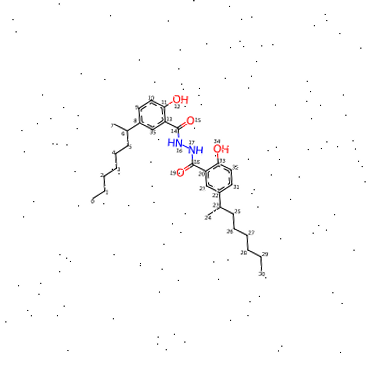 CCCCCCC(C)c1ccc(O)c(C(=O)NNC(=O)c2cc(C(C)CCCCCC)ccc2O)c1